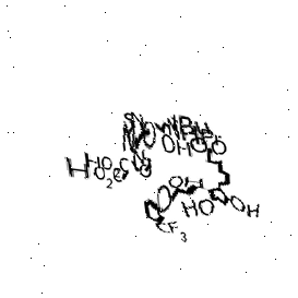 CC(C)(C)NC[C@H](O)COc1nsnc1N1CCOCC1.CC(C)OC(=O)CCC/C=C\C[C@@H]1[C@@H](/C=C/[C@@H](O)COc2cccc(C(F)(F)F)c2)[C@H](O)C[C@@H]1O.O=C(O)/C=C\C(=O)O